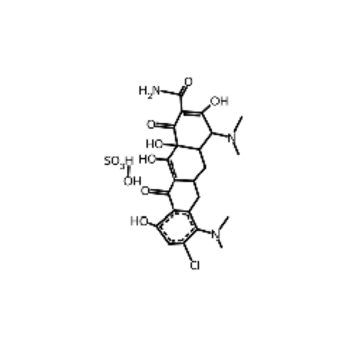 CN(C)c1c(Cl)cc(O)c2c1CC1CC3C(N(C)C)C(O)=C(C(N)=O)C(=O)C3(O)C(O)=C1C2=O.O=S(=O)(O)O